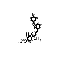 CCOc1ccc(C(C)(C)C/C=C/c2cccc(Oc3ccc(F)cc3)n2)cc1